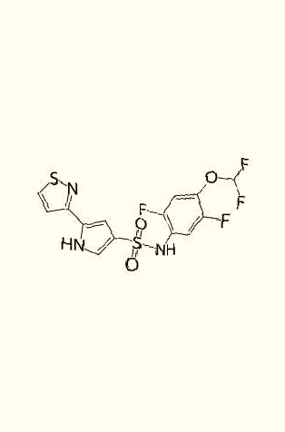 O=S(=O)(Nc1cc(F)c(OC(F)F)cc1F)c1c[nH]c(-c2ccsn2)c1